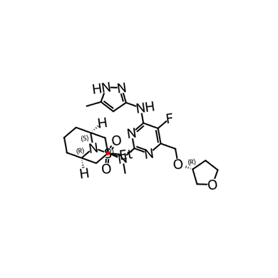 CCS(=O)(=O)N1[C@@H]2CCC[C@H]1C[C@@H](N(C)c1nc(CO[C@@H]3CCOC3)c(F)c(Nc3cc(C)[nH]n3)n1)C2